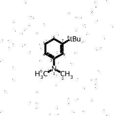 CN(C)C1=CCCC(C(C)(C)C)=C1